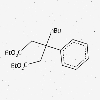 CCCCC(CC(=O)OCC)(CC(=O)OCC)c1ccccc1